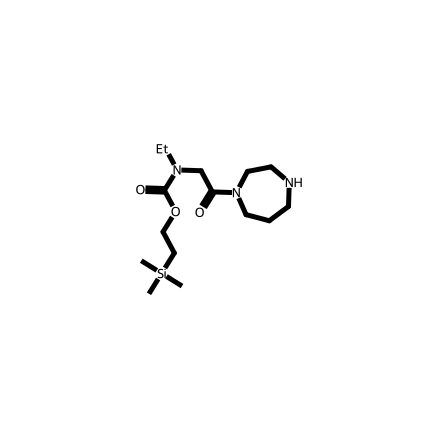 CCN(CC(=O)N1CCCNCC1)C(=O)OCC[Si](C)(C)C